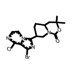 CC1(C)CC2CCC(c3nc(Br)c4c(Cl)nccn34)CN2C(=O)O1